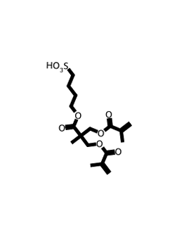 C=C(C)C(=O)OCC(C)(COC(=O)C(=C)C)C(=O)OCCCCS(=O)(=O)O